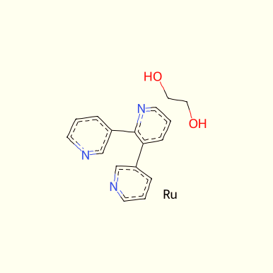 OCCO.[Ru].c1cncc(-c2cccnc2-c2cccnc2)c1